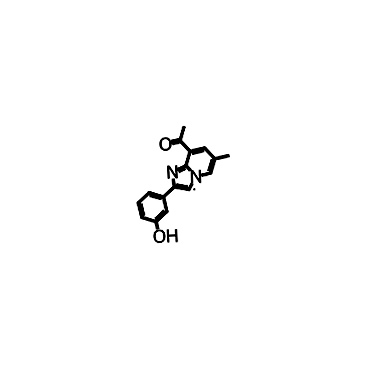 CC(=O)c1cc(C)cn2[c]c(-c3cccc(O)c3)nc12